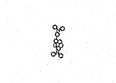 c1ccc(N(c2ccccc2)c2ccc(-c3ccc4c5c3ccc3ccc6cc(N(c7ccccc7)c7ccccc7)cc(c6c35)O4)cc2)cc1